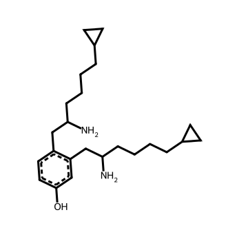 NC(CCCCC1CC1)Cc1ccc(O)cc1CC(N)CCCCC1CC1